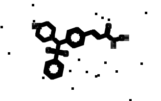 O=C(C=Cc1ccc(C(N2CCNCC2)S(=O)(=O)c2ccccc2)cc1)NO